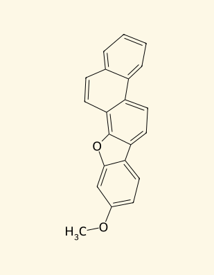 COc1ccc2c(c1)oc1c2ccc2c3ccccc3ccc21